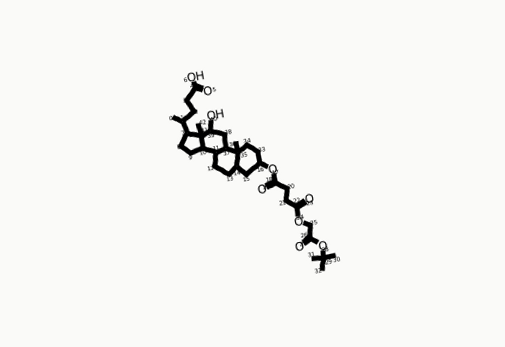 CC(CCC(=O)O)C1CCC2C3CCC4CC(OC(=O)CCC(=O)OCC(=O)OC(C)(C)C)CCC4(C)C3CC(O)C12C